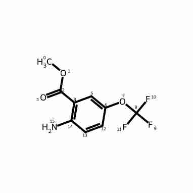 COC(=O)c1cc(OC(F)(F)F)ccc1N